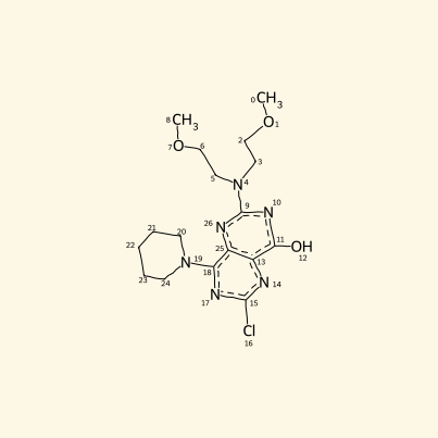 COCCN(CCOC)c1nc(O)c2nc(Cl)nc(N3CCCCC3)c2n1